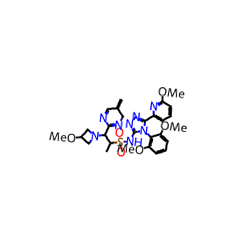 C=C1C=NC(C(C(C)S(=O)(=O)Nc2nnc(-c3cccc(OC)n3)n2-c2c(OC)cccc2OC)N2CC(OC)C2)=NC1